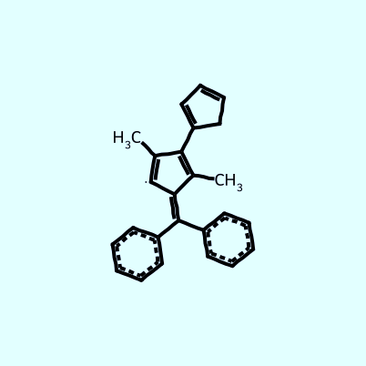 CC1=[C]C(=C(c2ccccc2)c2ccccc2)C(C)=C1C1=CC=CC1